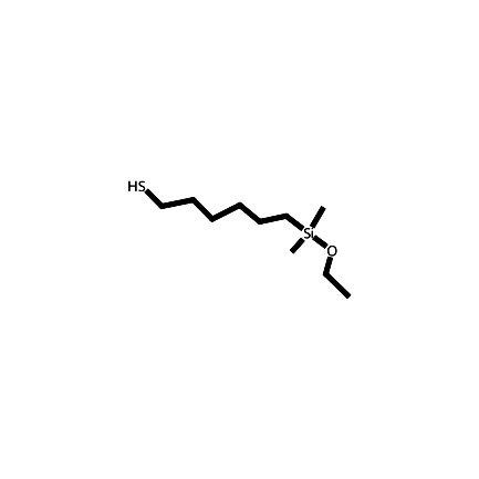 CCO[Si](C)(C)CCCCCCS